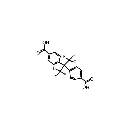 O=C(O)c1ccc(C(c2ccc(C(=O)O)cc2)(C(F)(F)F)C(F)(F)F)cc1